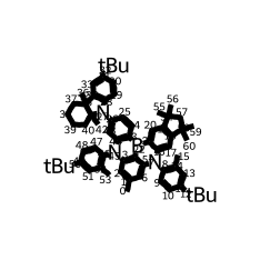 Cc1cc2c3c(c1)N(c1ccc(C(C)(C)C)cc1C)c1cc4c(cc1B3c1ccc(N3c5ccc(C(C)(C)C)cc5C5(C)CCCCC35C)cc1N2c1ccc(C(C)(C)C)cc1C)C(C)(C)CC4(C)C